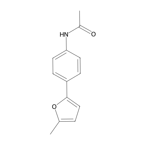 CC(=O)Nc1ccc(-c2ccc(C)o2)cc1